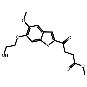 COC(=O)CCC(=O)c1cc2cc(OC)c(OCCO)cc2s1